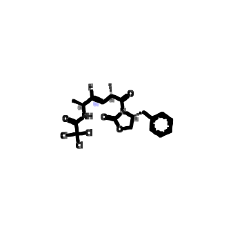 C[C@H](NC(=O)C(Cl)(Cl)Cl)/C(F)=C/[C@H](C)C(=O)N1C(=O)OC[C@H]1Cc1ccccc1